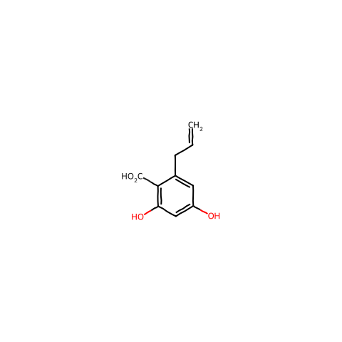 C=CCc1cc(O)cc(O)c1C(=O)O